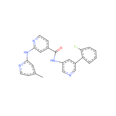 Cc1ccnc(Nc2cc(C(=O)Nc3cncc(-c4ccccc4F)c3)ccn2)c1